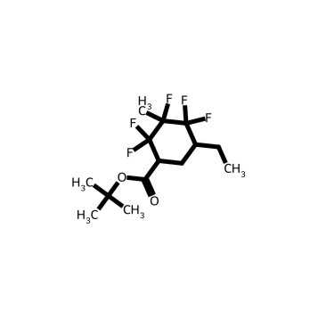 CCC1CC(C(=O)OC(C)(C)C)C(F)(F)C(C)(F)C1(F)F